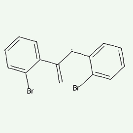 C=C([CH]c1ccccc1Br)c1ccccc1Br